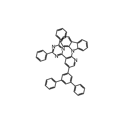 c1ccc(-c2cc(-c3ccccc3)cc(-c3cnc(-n4c5ccccc5c5ccccc54)c(-c4nc(-c5ccccc5)nc(-c5ccccc5)n4)c3)c2)cc1